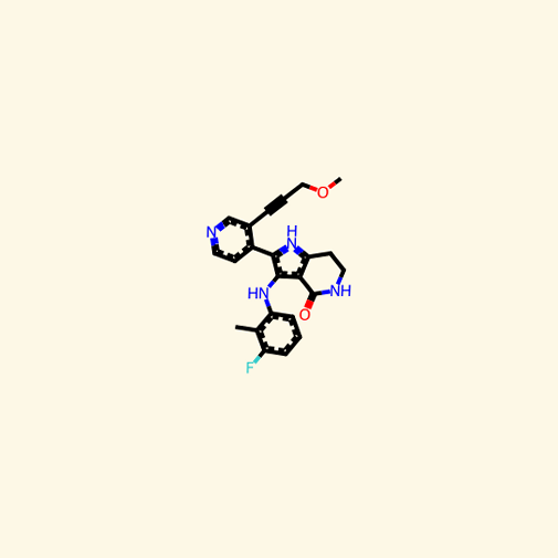 COCC#Cc1cnccc1-c1[nH]c2c(c1Nc1cccc(F)c1C)C(=O)NCC2